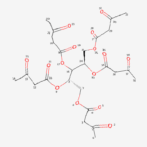 CC(=O)CC(=O)OC[C@H](OC(=O)CC(C)=O)C(OC(=O)CC(C)=O)[C@@H](COC(=O)CC(C)=O)OC(=O)CC(C)=O